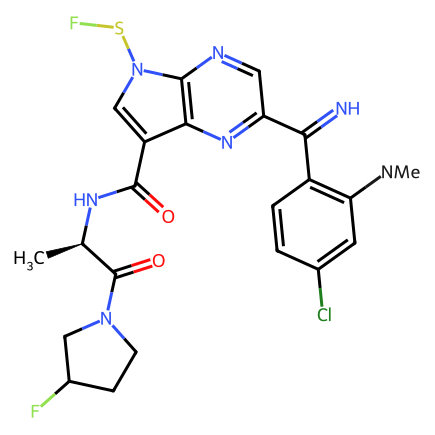 CNc1cc(Cl)ccc1C(=N)c1cnc2c(n1)c(C(=O)N[C@H](C)C(=O)N1CCC(F)C1)cn2SF